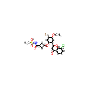 COc1cc(-c2cc(=O)c3cccc(Cl)c3o2)c(OC2CC(C(=O)NS(C)(=O)=O)C2)cc1Br